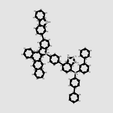 c1ccc(-c2ccc(N(c3cccc(-c4ccccc4)c3)c3ccc(-c4ccc(-n5c6ccc(-c7ccc8c(c7)oc7ccccc78)cc6c6c7ccccc7c7cc8ccccc8cc7c65)cc4)c4nsnc34)cc2)cc1